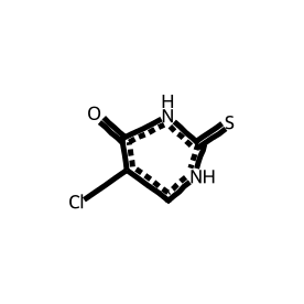 O=c1[nH]c(=S)[nH]cc1Cl